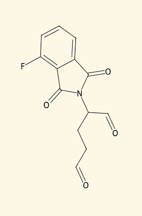 O=CCCC(C=O)N1C(=O)c2cccc(F)c2C1=O